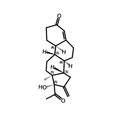 C=C1C[C@H]2[C@@H]3CCC4=CC(=O)CC[C@@H]4[C@H]3CC[C@]2(C)[C@]1(O)C(C)=O